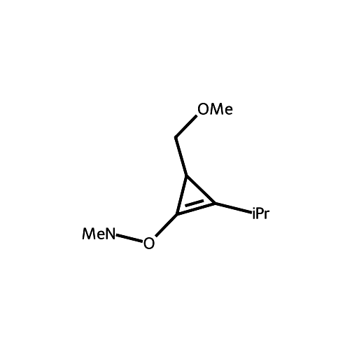 CNOC1=C(C(C)C)C1COC